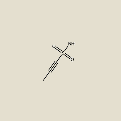 CC#CS([NH])(=O)=O